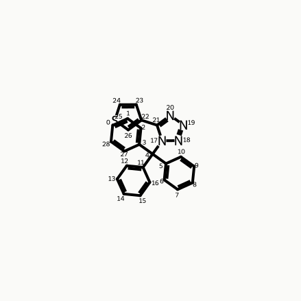 c1ccc(C(c2ccccc2)(c2ccccc2)n2nnnc2-c2ccsc2)cc1